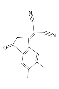 Cc1cc2c(cc1C)C(=C(C#N)C#N)CC2=O